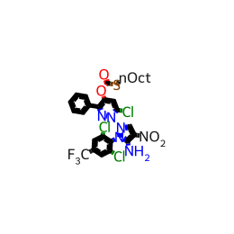 CCCCCCCCSC(=O)Oc1cc(Cl)nnc1-c1ccccc1.Nc1c([N+](=O)[O-])cnn1-c1c(Cl)cc(C(F)(F)F)cc1Cl